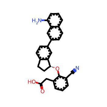 N#Cc1cccc(CC(=O)O)c1O[C@@H]1CCc2ccc(-c3ccc4cccc(N)c4c3)cc21